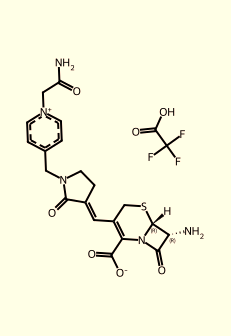 NC(=O)C[n+]1ccc(CN2CCC(=CC3=C(C(=O)[O-])N4C(=O)[C@@H](N)[C@H]4SC3)C2=O)cc1.O=C(O)C(F)(F)F